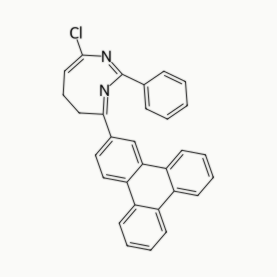 ClC1=C/CC/C(c2ccc3c4ccccc4c4ccccc4c3c2)=N/C(c2ccccc2)=N\1